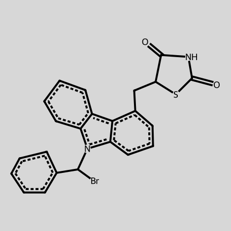 O=C1NC(=O)C(Cc2cccc3c2c2ccccc2n3C(Br)c2ccccc2)S1